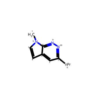 CCCc1cc2ccn(C)c2nn1